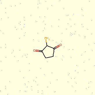 O=C1CCC(=O)C1P